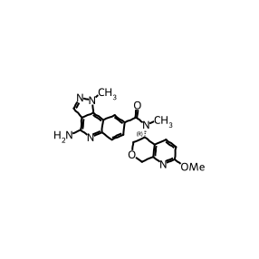 COc1ccc2c(n1)COC[C@@H]2N(C)C(=O)c1ccc2nc(N)c3cnn(C)c3c2c1